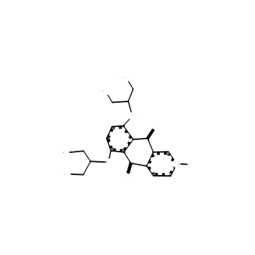 O=C1c2cc[n+]([O-])cc2C(=O)c2c(NC(CO)CO)ccc(NC(CO)CO)c21